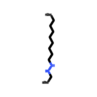 CCCCCCCCCCCCCCCCCCNNCCCCCCCCCCC